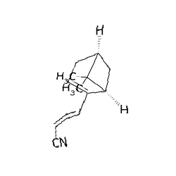 CC1(C)[C@H]2CC=C(/C=C/C#N)[C@@H]1C2